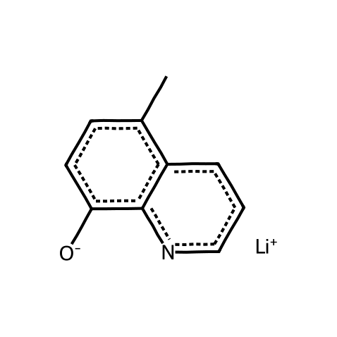 Cc1ccc([O-])c2ncccc12.[Li+]